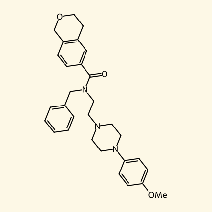 COc1ccc(N2CCN(CCN(Cc3ccccc3)C(=O)c3ccc4c(c3)CCOC4)CC2)cc1